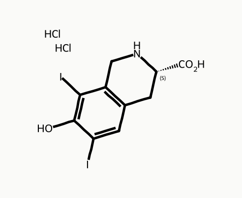 Cl.Cl.O=C(O)[C@@H]1Cc2cc(I)c(O)c(I)c2CN1